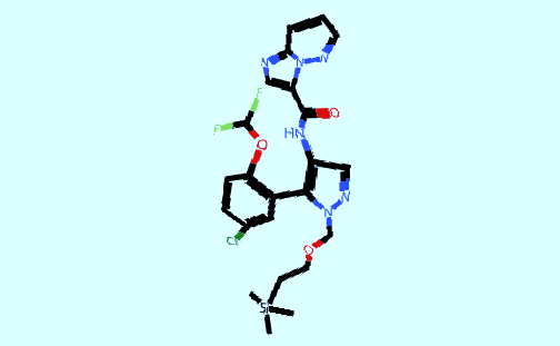 C[Si](C)(C)CCOCn1ncc(NC(=O)c2cnc3cccnn23)c1-c1cc(Cl)ccc1OC(F)F